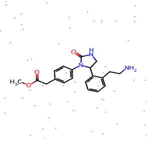 COC(=O)Cc1ccc(N2C(=O)NCC2c2ccccc2CCN)cc1